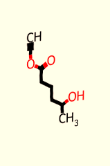 C#COC(=O)CCCC(C)O